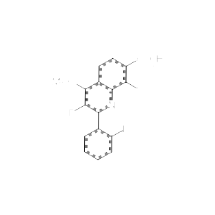 COc1c(F)c(-c2ccccc2F)nc2c(F)c(C(=O)O)ccc12